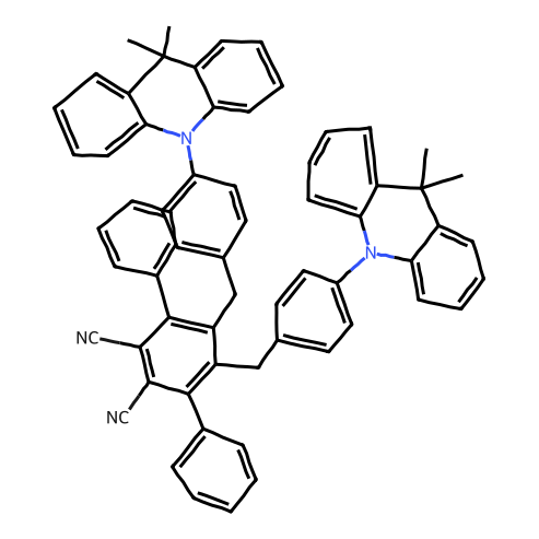 CC1(C)c2ccccc2N(c2ccc(Cc3c(Cc4ccc(N5c6ccccc6C(C)(C)c6ccccc65)cc4)c(-c4ccccc4)c(C#N)c(C#N)c3-c3ccccc3)cc2)c2ccccc21